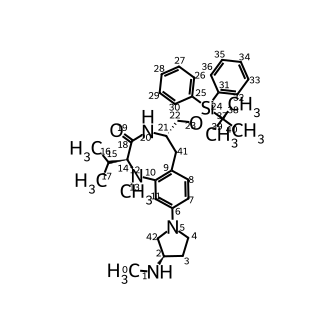 CN[C@@H]1CCN(c2ccc3c(c2)N(C)[C@@H](C(C)C)C(=O)N[C@H](CO[Si](c2ccccc2)(c2ccccc2)C(C)(C)C)C3)C1